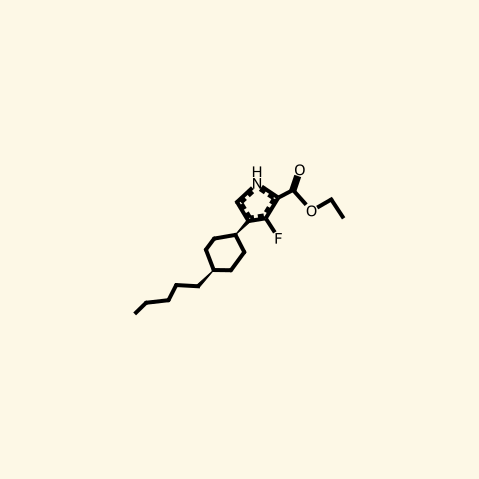 CCCCC[C@H]1CC[C@@H](c2c[nH]c(C(=O)OCC)c2F)CC1